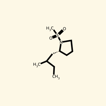 CCC(C)C[C@H]1CCCN1S(C)(=O)=O